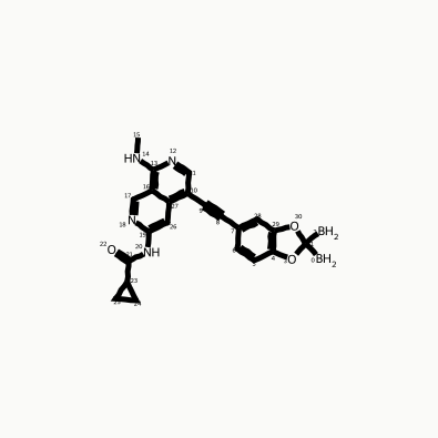 BC1(B)Oc2ccc(C#Cc3cnc(NC)c4cnc(NC(=O)C5CC5)cc34)cc2O1